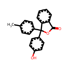 Cc1ccc(C2(c3ccc(O)cc3)OC(=O)c3ccccc32)cc1